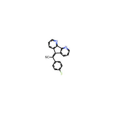 N#CC(=C1c2cccnc2-c2ncccc21)c1ccc(F)cc1